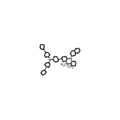 CC1(C)c2ccccc2N(c2ccc3ccccc3c2)c2ccc(-c3ccc(N(c4ccc(-c5ccccc5)cc4)c4ccc(-c5ccccc5)cc4)cc3)cc21